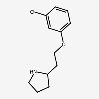 Clc1cccc(OCCC2CCCN2)c1